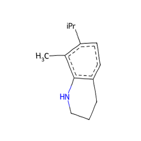 Cc1c(C(C)C)ccc2c1NCCC2